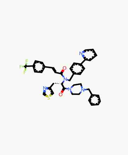 O=C([C@H](Cc1cscn1)N(Cc1ccc(-c2ccccn2)cc1)C(=O)C=Cc1ccc(C(F)(F)F)cc1)N1CCN(Cc2ccccc2)CC1